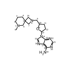 CN1CCCC2(C1)CN(CC1CCC(n3cnc4c(N)ncnc43)O1)C2